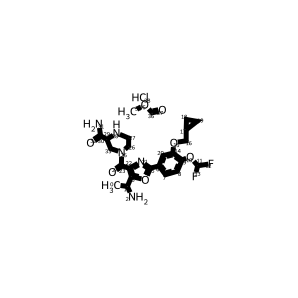 CC(N)c1oc(-c2ccc(OC(F)F)c(OCC3CC3)c2)nc1C(=O)N1CCNC(C(N)=O)C1.COC=O.Cl